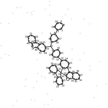 c1ccc(-c2ccc(C(c3ccc(-c4ccc5c(c4)C4(c6ccccc6-c6ccccc64)c4oc6ccccc6c4-5)cc3)c3ccc4sc5ccccc5c4c3)cc2)cc1